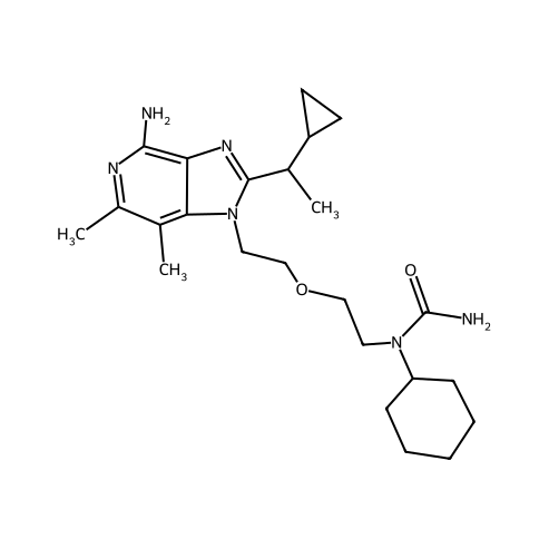 Cc1nc(N)c2nc(C(C)C3CC3)n(CCOCCN(C(N)=O)C3CCCCC3)c2c1C